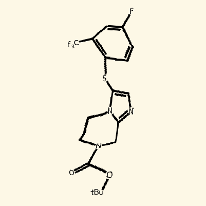 CC(C)(C)OC(=O)N1CCn2c(Sc3ccc(F)cc3C(F)(F)F)cnc2C1